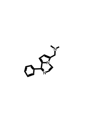 CN(C)Cc1ccc2c(-c3ccccc3)nccn12